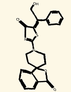 O=C1N=C(N2CCC3(CC2)OC(=O)c2ccccc23)SC1=C(CO)c1ccccc1